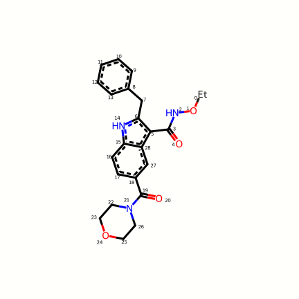 CCONC(=O)c1c(Cc2ccccc2)[nH]c2ccc(C(=O)N3CCOCC3)cc12